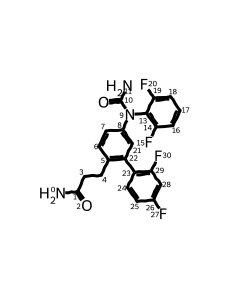 NC(=O)CCc1ccc(N(C(N)=O)c2c(F)cccc2F)cc1-c1ccc(F)cc1F